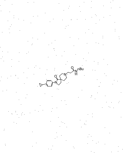 CCCCNC(=O)CCN1CCC2(CC1)CCN(c1ccc(C3CC3)cc1)C2=O